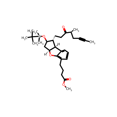 CC#CC[C@H](C)C(=O)CC[C@H]1C(O[Si](C)(C)C(C)(C)C)C[C@@H]2Oc3c(CCCC(=O)OC)cccc3[C@@H]21